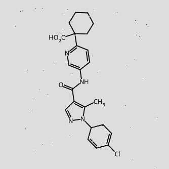 Cc1c(C(=O)Nc2ccc(C3(C(=O)O)CCCCC3)nc2)cnn1C1C=CC(Cl)=CC1